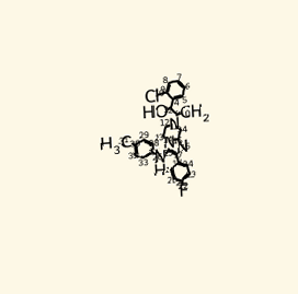 C=C(C(O)c1ccccc1Cl)N1CCn2c(nc(-c3ccc(F)cc3)c2Nc2ccc(C)cc2)C1